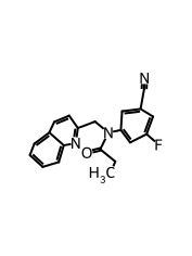 CCC(=O)N(Cc1ccc2ccccc2n1)c1cc(F)cc(C#N)c1